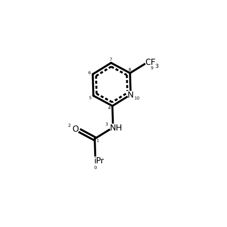 CC(C)C(=O)Nc1cccc(C(F)(F)F)n1